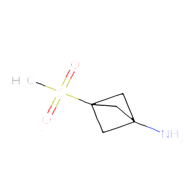 CS(=O)(=O)C12CC(N)(C1)C2